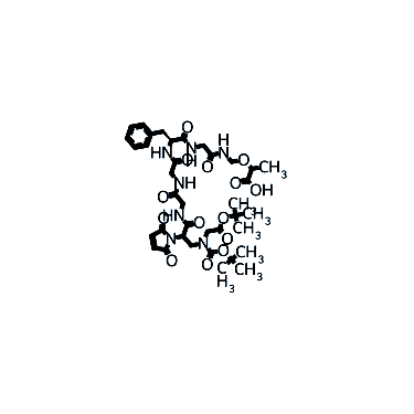 CC(OCNC(=O)CNC(=O)[C@H](Cc1ccccc1)NC(=O)CNC(=O)CNC(=O)C(CN(CC(=O)OC(C)(C)C)C(=O)OC(C)(C)C)N1C(=O)C=CC1=O)C(=O)O